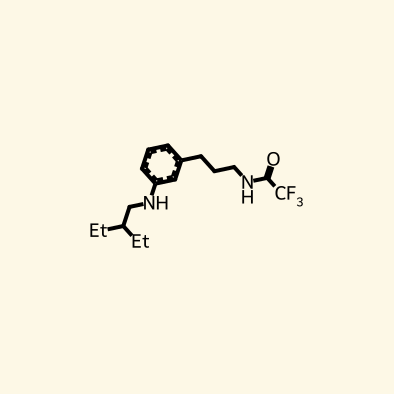 CCC(CC)CNc1cccc(CCCNC(=O)C(F)(F)F)c1